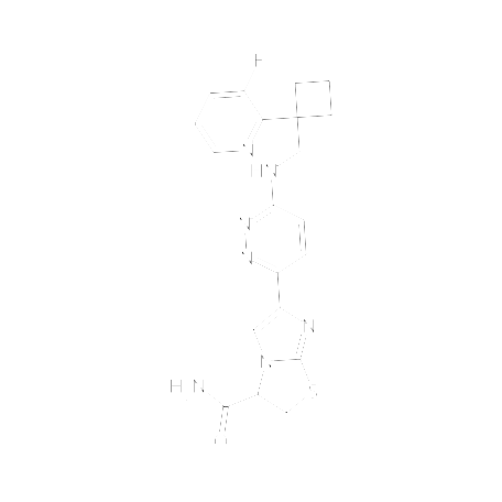 NC(=O)C1CSc2nc(-c3ccc(NCC4(c5ncccc5F)CCC4)nn3)cn21